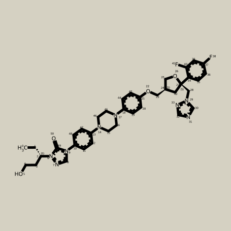 CC[C@@H](CCO)n1ncn(-c2ccc(N3CCN(c4ccc(OC[C@H]5CO[C@](Cn6cncn6)(c6ccc(F)cc6F)C5)cc4)CC3)cc2)c1=O